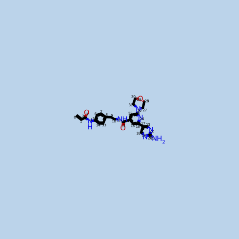 C=CC(=O)Nc1ccc(CCNC(=O)c2cc(-c3cnc(N)nc3)nc(N3CCOCC3)c2)cc1